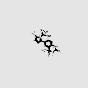 CC1(C)OC(=O)Nc2ccc(-c3ccc(C#N)n3C(C(=O)O)C(C)(C)C)cc21